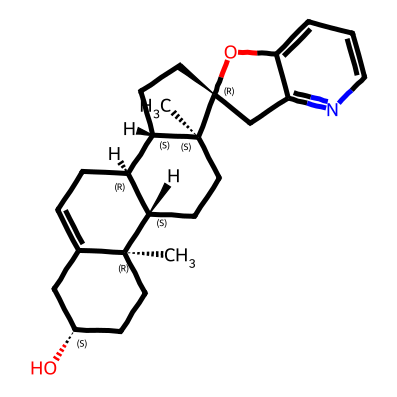 C[C@]12CC[C@H](O)CC1=CC[C@@H]1[C@@H]2CC[C@@]2(C)[C@H]1CC[C@@]21Cc2ncccc2O1